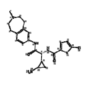 CN1CCc2ccc(NC(=O)[C@H](NC(=O)c3ccc(Cl)s3)C3CC3N)cc2CC1